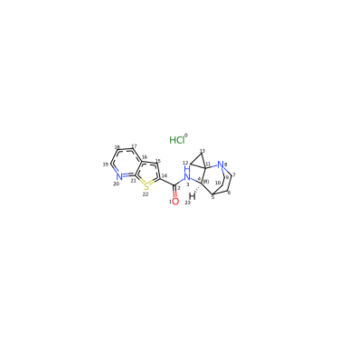 Cl.O=C(N[C@@H]1C2CCN(CC2)C12CC2)c1cc2cccnc2s1